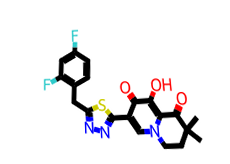 CC1(C)CCn2cc(-c3nnc(Cc4ccc(F)cc4F)s3)c(=O)c(O)c2C1=O